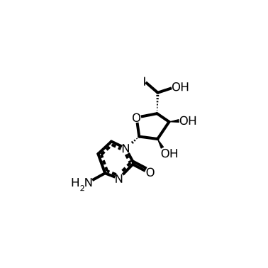 Nc1ccn([C@@H]2O[C@H](C(O)I)[C@@H](O)[C@H]2O)c(=O)n1